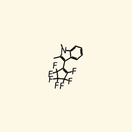 Cc1c(C2=C(F)C(F)(F)C(F)(F)C2(F)F)c2ccccc2n1C